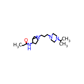 CCC(=O)NC1CC2CC1CN2CCCN1CCN(C(C)C)CC1